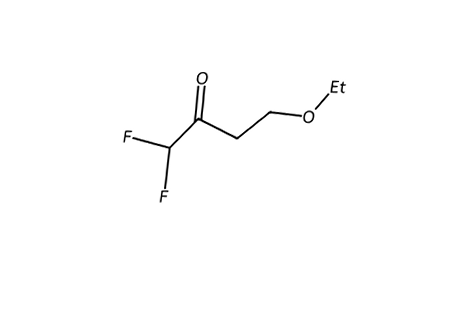 CCOCCC(=O)C(F)F